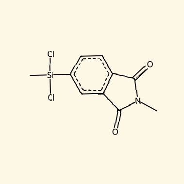 CN1C(=O)c2ccc([Si](C)(Cl)Cl)cc2C1=O